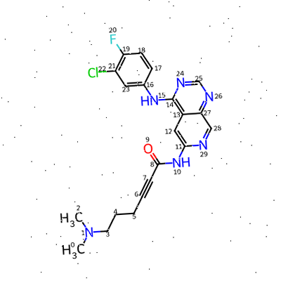 CN(C)CCCC#CC(=O)Nc1cc2c(Nc3ccc(F)c(Cl)c3)ncnc2cn1